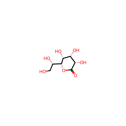 O=C1O[C@H]([C@@H](O)CO)[C@H](O)[C@H](O)[C@@H]1O